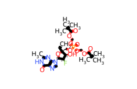 C=C[C@]1(COP(=O)(OCOC(=O)C(C)(C)C)OCOC(=O)C(C)(C)C)O[C@@H](n2cnc3c(=O)[nH]c(C)nc32)[C@H](F)[C@@H]1O